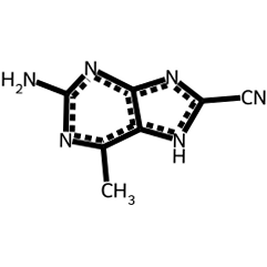 Cc1nc(N)nc2nc(C#N)[nH]c12